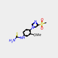 COc1cc(NC(N)=S)ccc1-n1cnc(S(C)(=O)=O)c1